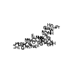 CC(C)C(=O)Nc1nc2c(ncn2C2OC(CO)C(CO)C2OP(=S)(OCCC#N)OCC2OC(n3cnc4c(NC(=O)c5ccccc5)ncnc43)C(F)C2N=[N+]=[N-])c(=O)[nH]1